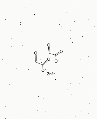 O=CC(=O)[O-].O=CC(=O)[O-].[Zn+2]